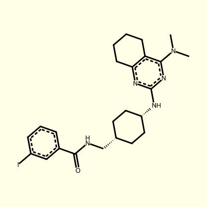 CN(C)c1nc(N[C@H]2CC[C@@H](CNC(=O)c3cccc(I)c3)CC2)nc2c1CCCC2